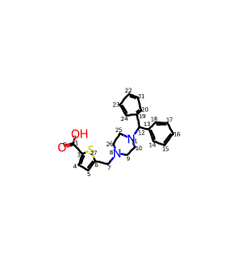 O=C(O)c1ccc(CN2CCN(C(c3ccccc3)c3ccccc3)CC2)s1